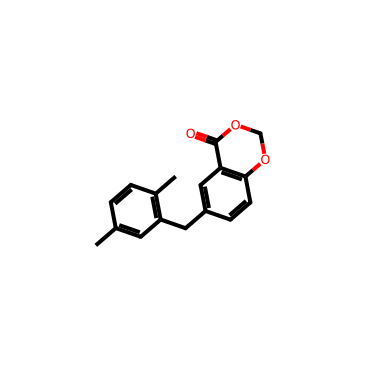 Cc1ccc(C)c(Cc2ccc3c(c2)C(=O)OCO3)c1